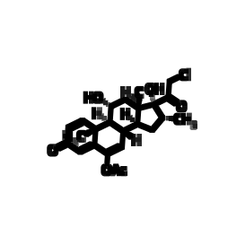 CC(=O)OC1=C[C@@H]2[C@H]([C@H](O)C[C@@]3(C)[C@H]2C[C@@H](C)[C@]3(O)C(=O)CCl)[C@@]2(C)C=CC(=O)C=C12